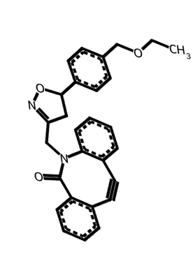 CCOCc1ccc(C2CC(CN3C(=O)c4ccccc4C#Cc4ccccc43)=NO2)cc1